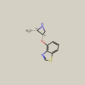 C[C@@H]1NC[C@@H]1Oc1cccc2scnc12